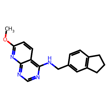 COc1ccc2c(NCc3ccc4c(c3)CCC4)ncnc2n1